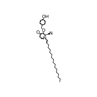 CCCCCCCCCCCCCCCCC=Cn1ccc(=O)c(OCc2ccc(O)cc2)c1C#N